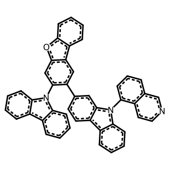 c1cc(-n2c3ccccc3c3ccc(-c4cc5c(cc4-n4c6ccccc6c6ccccc64)oc4ccccc45)cc32)c2ccncc2c1